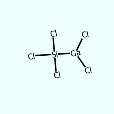 [Cl][Ga]([Cl])[Si](Cl)(Cl)Cl